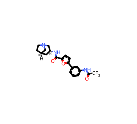 O=C(N[C@@H]1C[C@H]2CCN(C2)C1)c1ccc(-c2cccc(NC(=O)C(F)(F)F)c2)o1